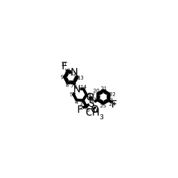 CC(F)(C1CCN(c2ccc(F)nc2)CC1)S(=O)(=O)c1cccc(F)c1